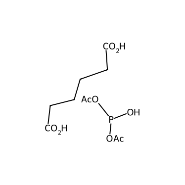 CC(=O)OP(O)OC(C)=O.O=C(O)CCCCC(=O)O